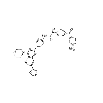 N[C@H]1CCN(C(=O)c2ccc(NC(=O)Nc3ccc(-c4nc(N5CCOCC5)c5ccc(-c6ccco6)cc5n4)cc3)cc2)C1